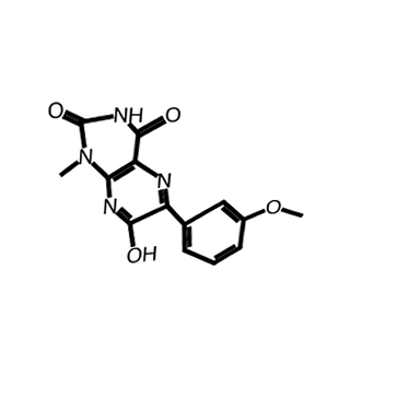 COc1cccc(-c2nc3c(=O)[nH]c(=O)n(C)c3nc2O)c1